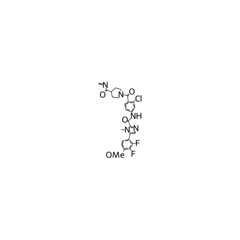 C=NC(=O)C1CCN(C(=O)c2ccc(NC(=O)c3ncc(-c4ccc(OC)c(F)c4F)n3C)cc2Cl)CC1